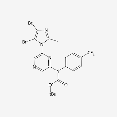 Cc1nc(Br)c(Br)n1-c1cncc(N(C(=O)OC(C)(C)C)c2ccc(C(F)(F)F)cc2)n1